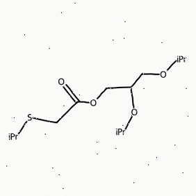 CC(C)OCC(COC(=O)CSC(C)C)OC(C)C